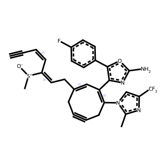 C#C/C=C\C(=C/C/C1=C/C(c2nc(N)oc2-c2ccc(F)cc2)=C(/n2cc(C(F)(F)F)nc2C)CC#CC1)[S+](C)[O-]